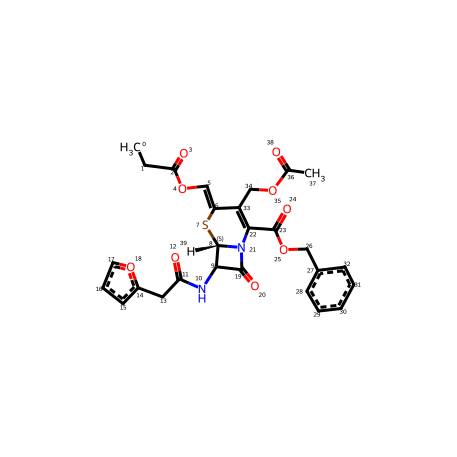 CCC(=O)OC=C1S[C@H]2C(NC(=O)Cc3ccco3)C(=O)N2C(C(=O)OCc2ccccc2)=C1COC(C)=O